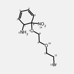 NC1C=CC=CC1(OCCOCCBr)[N+](=O)[O-]